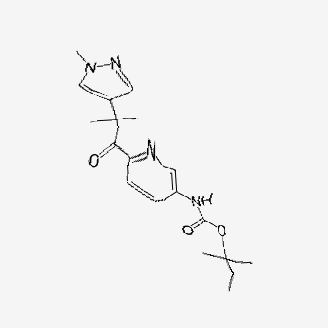 Cn1cc(C(C)(C)C(=O)c2ccc(NC(=O)OC(C)(C)C)cn2)cn1